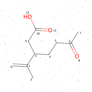 C=C(C)C(CCC(C)=O)CC(=O)O